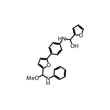 COC(Nc1ccccc1)c1ccc(-c2ccc(NC(O)c3ccco3)cc2)o1